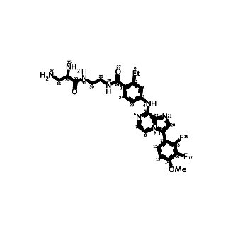 CCc1cc(Nc2nccn3c(-c4ccc(OC)c(F)c4F)cnc23)ccc1C(=O)NCCNC(=O)C(N)CN